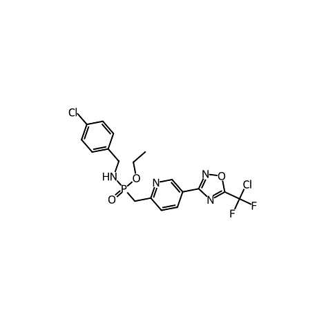 CCOP(=O)(Cc1ccc(-c2noc(C(F)(F)Cl)n2)cn1)NCc1ccc(Cl)cc1